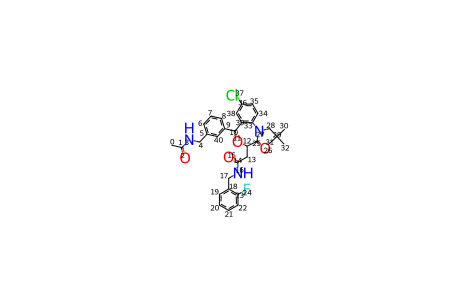 CC(=O)NCc1cccc(C2OC(CC(=O)NCc3ccccc3F)C(=O)N(CC(C)(C)C)c3ccc(Cl)cc32)c1